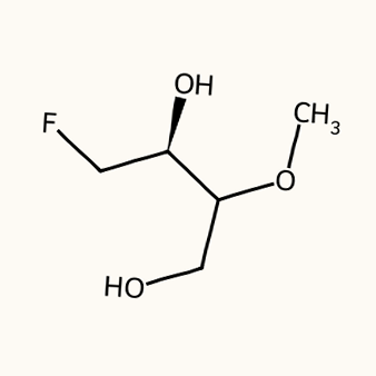 COC(CO)[C@H](O)CF